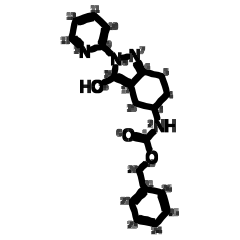 O=C(NC1CCc2nn(-c3ccccn3)c(O)c2C1)OCc1ccccc1